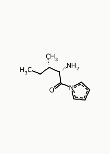 CC[C@H](C)[C@H](N)C(=O)n1cccc1